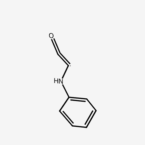 O=C=[C]Nc1ccccc1